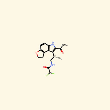 CNC(=O)c1[nH]c2ccc3c(c2c1[C@H](C)CNC(=O)C(F)F)CCO3